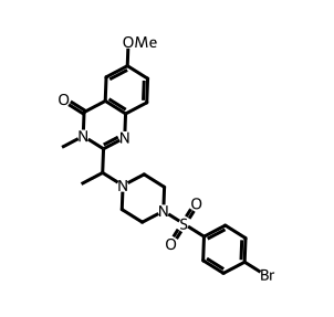 COc1ccc2nc(C(C)N3CCN(S(=O)(=O)c4ccc(Br)cc4)CC3)n(C)c(=O)c2c1